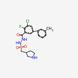 Cc1cccc(-c2cc(Cl)c(F)c(C(=O)NNS(=O)(=O)CC3CCNC3)c2)c1